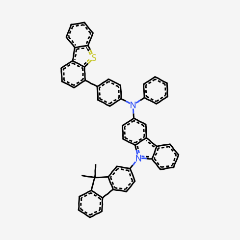 CC1(C)c2ccccc2-c2ccc(-n3c4ccccc4c4cc(N(c5ccccc5)c5ccc(-c6cccc7c6sc6ccccc67)cc5)ccc43)cc21